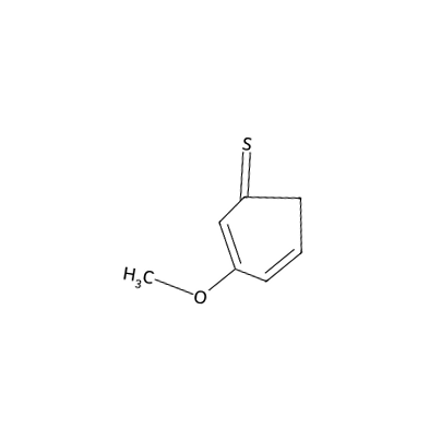 COC1=CC(=S)CC=C1